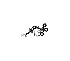 CC(C)OCCCNC(=O)Cc1cccc(OCCCN(Cc2cccc(C(F)(F)F)c2Cl)C(C)(c2ccccc2)c2ccccc2)c1